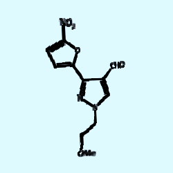 COCCn1cc(C=O)c(-c2ccc([N+](=O)[O-])o2)n1